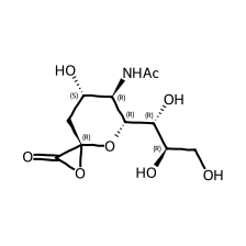 CC(=O)N[C@H]1[C@H]([C@H](O)[C@H](O)CO)O[C@]2(C[C@@H]1O)OC2=O